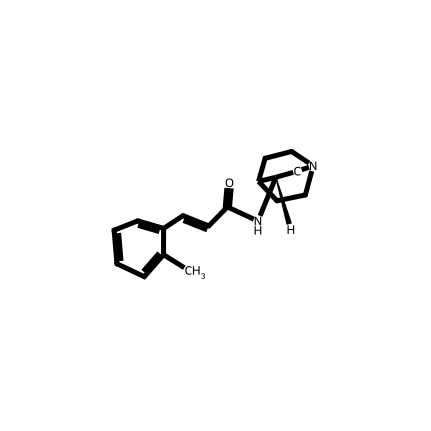 Cc1ccccc1C=CC(=O)N[C@H]1CN2CCC1CC2